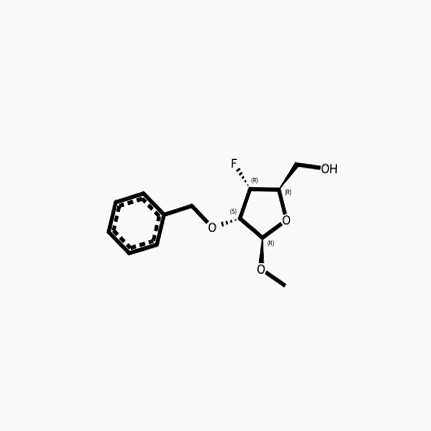 CO[C@@H]1O[C@H](CO)[C@@H](F)[C@H]1OCc1ccccc1